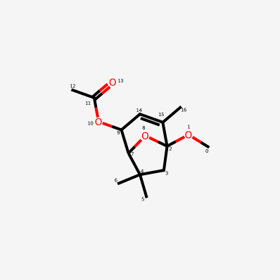 COC12CC(C)(C)C(O1)C(OC(C)=O)C=C2C